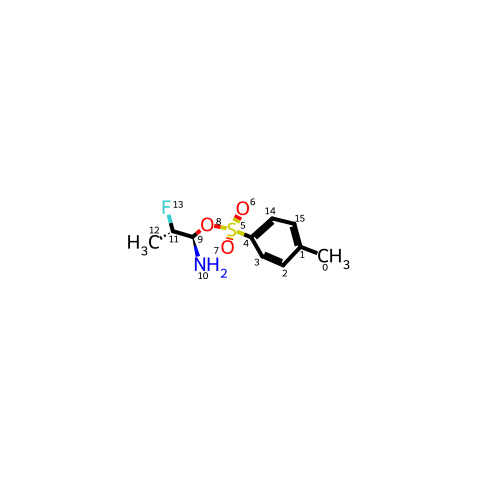 Cc1ccc(S(=O)(=O)O[C@@H](N)[C@H](C)F)cc1